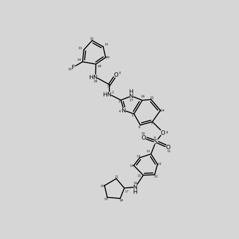 O=C(Nc1nc2cc(OS(=O)(=O)c3ccc(NC4CCCC4)cc3)ccc2[nH]1)Nc1ccccc1F